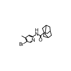 Cc1cc(NC(=O)C23CC4CC(CC(C4)C2)C3)ncc1Br